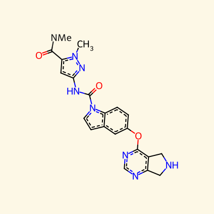 CNC(=O)c1cc(NC(=O)n2ccc3cc(Oc4ncnc5c4CNC5)ccc32)nn1C